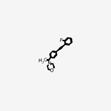 C=C(c1ccc(C#Cc2ccccc2F)cc1)N1CCOCC1